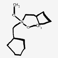 CO[Si](CC1CCCCC1)(CC1CCC1)OC